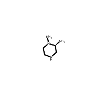 N[C@H]1CNCCN1N